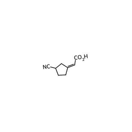 N#CC1CC/C(=C/C(=O)O)C1